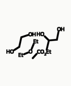 CC(O)CO.CCOC(C)=O.CCOCC.OCCO